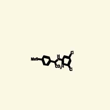 CSc1ccc(C(Nc2cc(Cl)cc(Cl)c2)C(=O)O)cc1